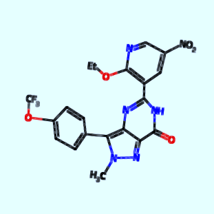 CCOc1ncc([N+](=O)[O-])cc1-c1nc2c(-c3ccc(OC(F)(F)F)cc3)n(C)nc2c(=O)[nH]1